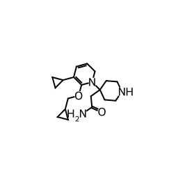 NC(=O)CC1(N2CC=CC(C3CC3)=C2OCC2CC2)CCNCC1